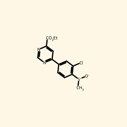 CCOC(=O)c1cc(-c2ccc([S+](C)[O-])c(Cl)c2)ncn1